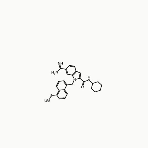 CC(C)(C)Sc1cccc2c(Cn3c(C(=O)NC4CCCCC4)cc4ccc(C(=N)N)cc43)cccc12